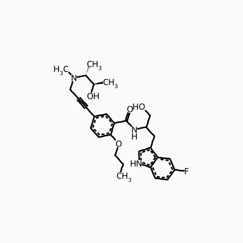 CCCOc1ccc(C#CCN(C)[C@H](C)[C@@H](C)O)cc1C(=O)NC(CO)Cc1c[nH]c2ccc(F)cc12